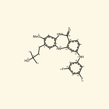 COc1cc2c(cc1CCC(C)(C)O)Nc1cc(Nc3cc(F)cc(F)c3)ccc1C(=O)N2